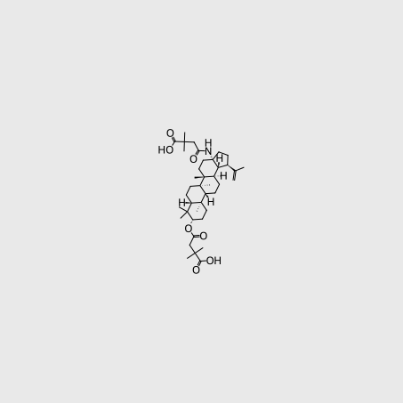 C=C(C)[C@@H]1CC[C@]2(NC(=O)CC(C)(C)C(=O)O)CC[C@]3(C)[C@H](CC[C@@H]4[C@@]5(C)CC[C@H](OC(=O)CC(C)(C)C(=O)O)C(C)(C)[C@@H]5CC[C@]43C)[C@@H]12